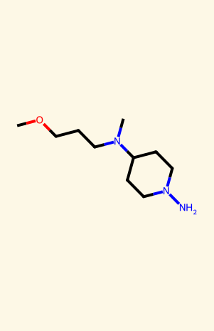 COCCCN(C)C1CCN(N)CC1